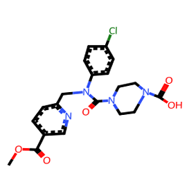 COC(=O)c1ccc(CN(C(=O)N2CCN(C(=O)O)CC2)c2ccc(Cl)cc2)nc1